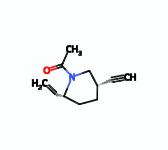 C#C[C@@H]1CC[C@H](C=C)N(C(C)=O)C1